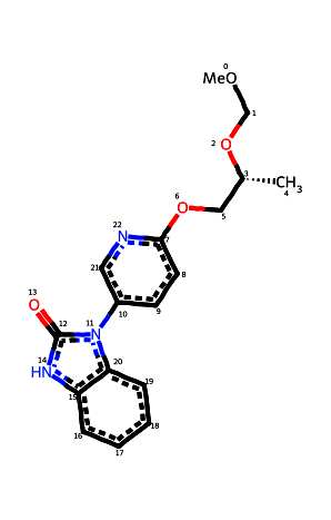 COCO[C@H](C)COc1ccc(-n2c(=O)[nH]c3ccccc32)cn1